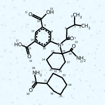 CC(C)CC(=O)N(c1cc(C(=O)O)cc(C(=O)O)c1)C1(C(N)=O)CCCCC1.NC(=O)C1CCCCC1